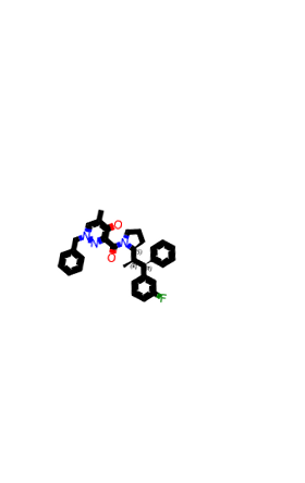 Cc1cn(Cc2ccccc2)nc(C(=O)N2CCC[C@H]2[C@H](C)[C@H](c2ccccc2)c2cccc(F)c2)c1=O